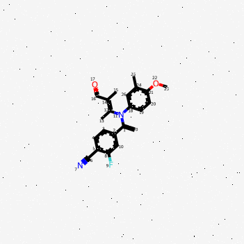 C=C(c1ccc(C#N)c(F)c1)N(/C(C)=C(\C)C=O)c1ccc(OC)c(C)c1